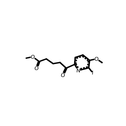 COC(=O)CCCC(=O)c1ccc(OC)c(I)n1